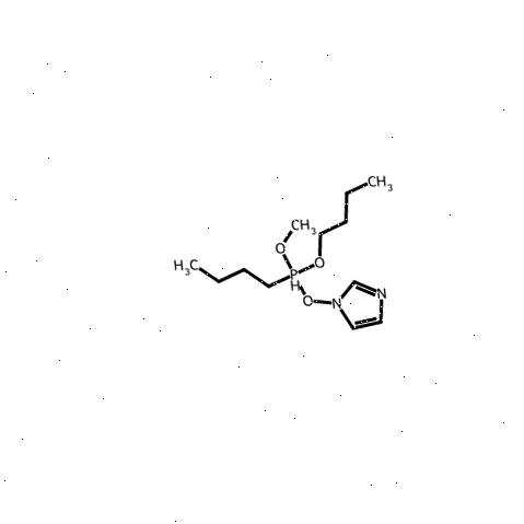 CCCCO[PH](CCCC)(OC)On1ccnc1